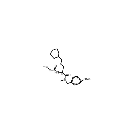 COc1ccc(CN(C)C(=O)[C@H](CSCC2CCCCC2)NC(=O)OC(C)(C)C)cc1